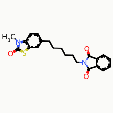 Cn1c(=O)sc2cc(CCCCCCN3C(=O)c4ccccc4C3=O)ccc21